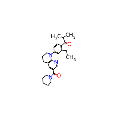 CCc1cc(N2CCCc3cc(C(=O)N4CCCCC4)cnc32)ccc1C(=O)C(C)C